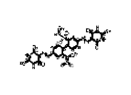 CCCNS(=O)(=O)c1cc(N=NC2C(=O)NC(=S)NC2=O)ccc1-c1ccc(N=NC2C(=O)NC(=S)NC2=O)cc1N(CCC)[SH](=O)=O